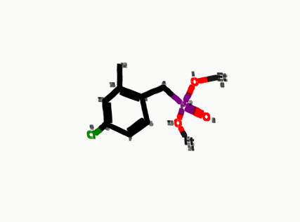 CCOP(=O)(Cc1ccc(Cl)cc1C)OCC